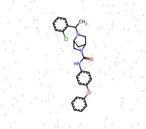 CC(c1ccccc1Cl)N1CC2CC1CN2C(=O)Nc1ccc(Oc2ccccc2)cc1